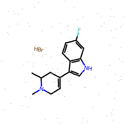 Br.CC1CC(c2c[nH]c3cc(F)ccc23)=CCN1C